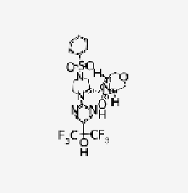 O=S(=O)(c1ccccc1)N1CCN(c2ncc(C(O)(C(F)(F)F)C(F)(F)F)cn2)[C@@H](CN2[C@H]3COC[C@@H]2[C@H](O)C3)C1